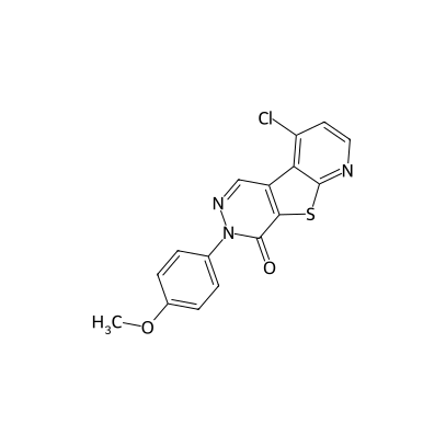 COc1ccc(-n2ncc3c(sc4nccc(Cl)c43)c2=O)cc1